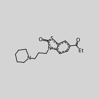 CCC(=O)c1ccc2c(c1)sc(=O)n2CCCN1CCCCC1